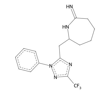 N=C1CCCCC(Cc2nc(C(F)(F)F)nn2-c2ccccc2)N1